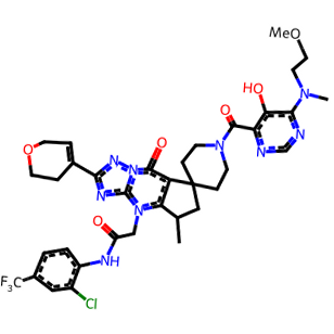 COCCN(C)c1ncnc(C(=O)N2CCC3(CC2)CC(C)c2c3c(=O)n3nc(C4=CCOCC4)nc3n2CC(=O)Nc2ccc(C(F)(F)F)cc2Cl)c1O